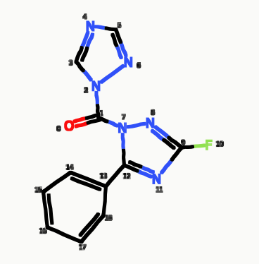 O=C(n1cncn1)n1nc(F)nc1-c1ccccc1